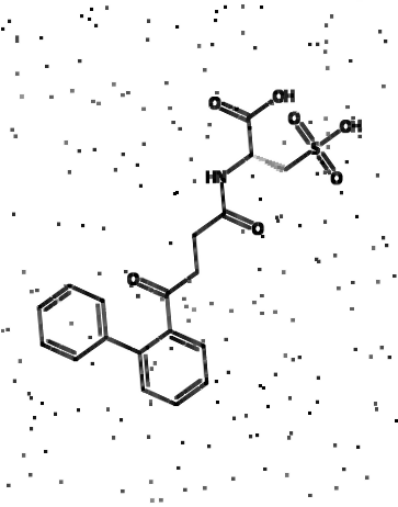 O=C(CCC(=O)c1ccccc1-c1ccccc1)N[C@@H](CS(=O)(=O)O)C(=O)O